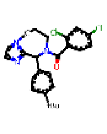 CC(C)(C)c1ccc(C2c3nccn3CCCN2C(=O)c2ccc(Cl)cc2Cl)cc1